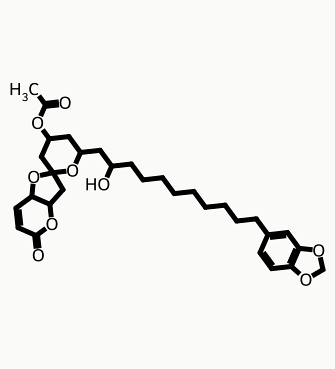 CC(=O)OC1CC(CC(O)CCCCCCCCCc2ccc3c(c2)OCO3)OC2(C1)CC1OC(=O)C=CC1O2